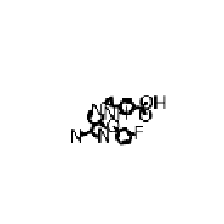 N#Cc1cnc(Oc2cccc(F)c2)c2c(NC3(c4ccc(C(=O)O)cc4)CC3)nccc12